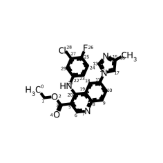 CCOC(=O)c1cnc2ccc(-n3cnc(C)c3)cc2c1Nc1ccc(F)c(Cl)c1